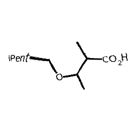 CCCC(C)COC(C)C(C)C(=O)O